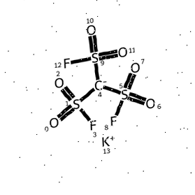 O=S(=O)(F)[C-](S(=O)(=O)F)S(=O)(=O)F.[K+]